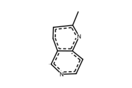 Cc1ccc2[c]nccc2n1